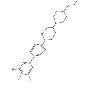 CCCC1CCC(C2COC(c3ccc(-c4cc(F)c(C)c(F)c4)cc3)OC2)CC1